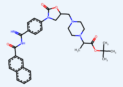 CC(C(=O)OC(C)(C)C)N1CCN(CC2CN(c3ccc(C(=N)NC(=O)c4ccc5ccccc5c4)cc3)C(=O)O2)CC1